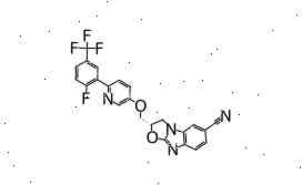 N#Cc1ccc2nc3n(c2c1)C[C@@H](COc1ccc(-c2cc(C(F)(F)F)ccc2F)nc1)O3